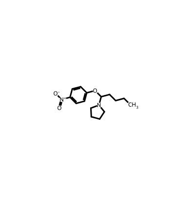 CCCCC(Oc1ccc([N+](=O)[O-])cc1)N1CCCC1